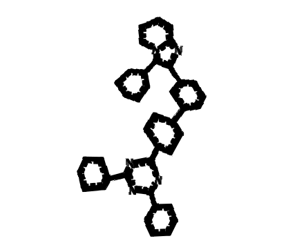 c1ccc(-c2nc(-c3ccccc3)nc(-c3ccc(-c4cccc(-c5nc6ccccn6c5-c5ccccc5)c4)cc3)n2)cc1